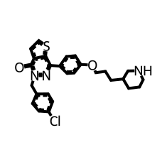 O=c1c2ccsc2c(-c2ccc(OCCCC3CCCNC3)cc2)nn1Cc1ccc(Cl)cc1